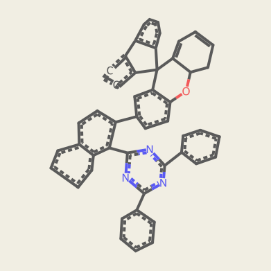 C1=CCC2Oc3ccc(-c4ccc5ccccc5c4-c4nc(-c5ccccc5)nc(-c5ccccc5)n4)cc3C3(C2=C1)c1ccccc1-c1ccccc13